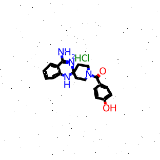 Cl.NC1=NC2(CCN(C(=O)c3ccc(O)cc3)CC2)Nc2ccccc21